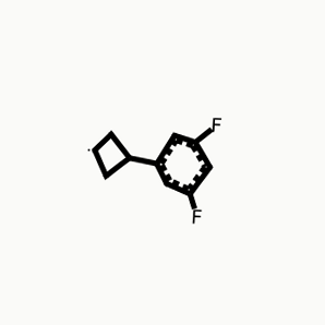 Fc1cc(F)cc(C2C[CH]C2)c1